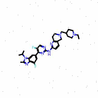 CCN1CCC(CN2CCc3nc(Nc4ncc(F)c(-c5cc(F)c6nc(C)n(C(C)C)c6c5)n4)ccc3C2)CC1